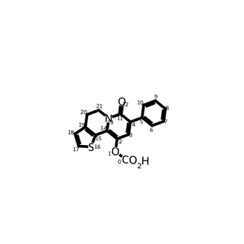 O=C(O)Oc1cc(-c2ccccc2)c(=O)n2c1-c1sccc1CC2